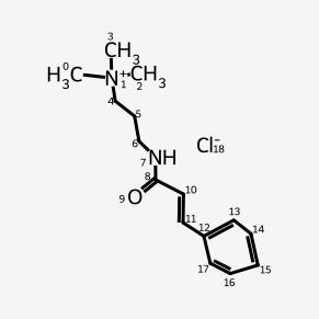 C[N+](C)(C)CCCNC(=O)C=Cc1ccccc1.[Cl-]